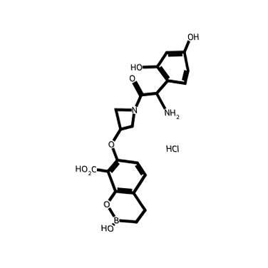 Cl.NC(C(=O)N1CC(Oc2ccc3c(c2C(=O)O)OB(O)CC3)C1)c1ccc(O)cc1O